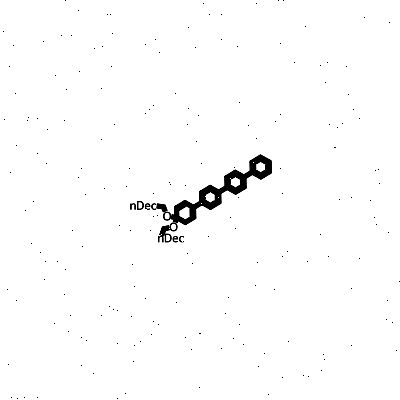 CCCCCCCCCCCOC1(OCCCCCCCCCCC)C=CC(c2ccc(-c3ccc(-c4ccccc4)cc3)cc2)=CC1